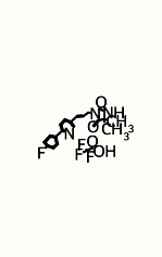 CC1(C)NC(=O)N(CC=Cc2ccc(-c3ccc(F)cc3)nc2)C1=O.O=C(O)C(F)(F)F